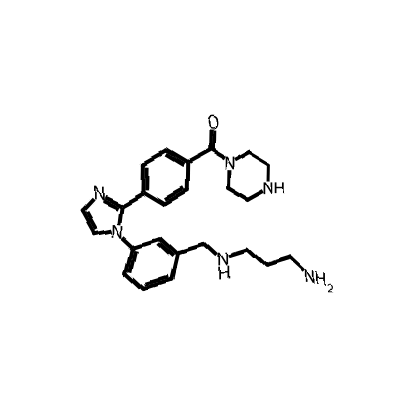 NCCCNCc1cccc(-n2ccnc2-c2ccc(C(=O)N3CCNCC3)cc2)c1